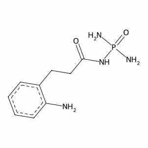 Nc1ccccc1CCC(=O)NP(N)(N)=O